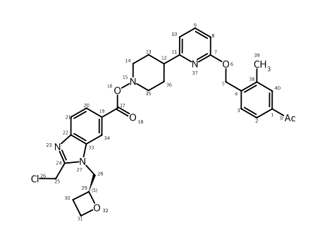 CC(=O)c1ccc(COc2cccc(C3CCN(OC(=O)c4ccc5nc(CCl)n(C[C@@H]6CCO6)c5c4)CC3)n2)c(C)c1